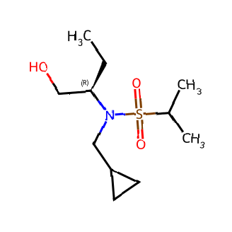 CC[C@H](CO)N(CC1CC1)S(=O)(=O)C(C)C